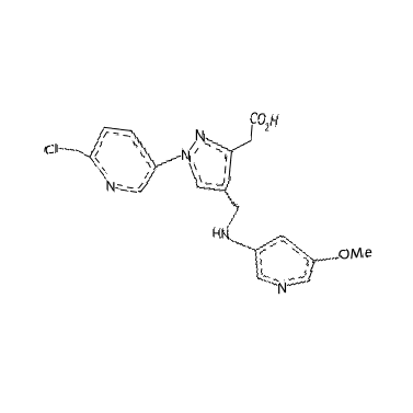 COc1cncc(NCc2cn(-c3ccc(Cl)nc3)nc2CC(=O)O)c1